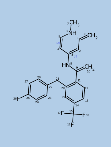 C=C/C=C(\C=C/NC)NC(=C)c1ccc(C(F)(F)F)cc1Cc1ccc(F)cc1